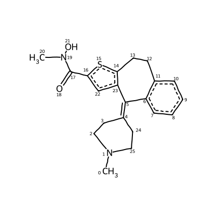 CN1CCC(=C2c3ccccc3CCc3sc(C(=O)N(C)O)cc32)CC1